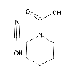 N#CO.O=C(O)N1CCCCC1